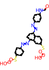 O=CNc1ccc(N=Nc2ccc(N=Nc3ccc(SOOO)cc3)c3cc(SOOO)ccc23)cc1